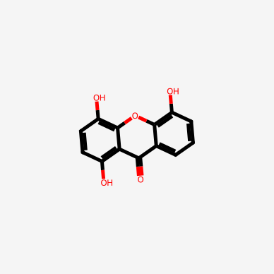 O=c1c2cccc(O)c2oc2c(O)ccc(O)c12